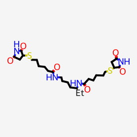 CC[C@H](CCCCNC(=O)CCCCCSC1CC(=O)NC1=O)NC(=O)CCCCCSC1CC(=O)NC1=O